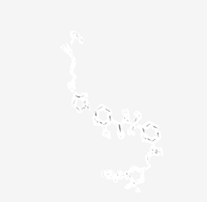 CC1(C)CC(CCNc2cccc(S(=O)(=O)NC(=O)c3ccc(-n4ccc(OCCCC5CC5C(F)(F)F)n4)nc3Cl)n2)CN1C(=O)O